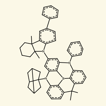 CC1(C)c2cccc3c2B2c4c(cc(N5c6ccc(-c7ccccc7)cc6C6(C)CCCCC56C)cc4N(C45CC6CC4CC6C5)c4cccc1c42)N3c1ccccc1